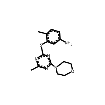 Cc1nc(Sc2cc(N)ccc2C)nc(N2CCOCC2)n1